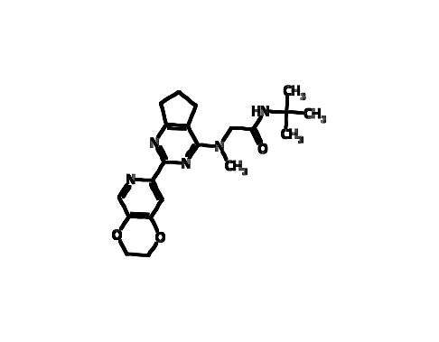 CN(CC(=O)NC(C)(C)C)c1nc(-c2cc3c(cn2)OCCO3)nc2c1CCC2